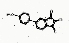 CSc1ccc(-c2ccc3c(=O)c(=O)c(=O)c3c2)cc1